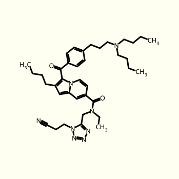 CCCCc1cc2cc(C(=O)N(CC)Cc3nnnn3CCC#N)ccn2c1C(=O)c1ccc(CCCN(CCCC)CCCC)cc1